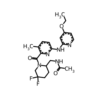 CCOc1ccnc(Nc2ccc(C)c(C(=O)N3CC(F)(F)CCC3CNC(C)=O)n2)c1